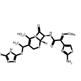 CON=C(C(=O)N[C@@H]1C(=O)N2C(C(=O)O)=C(C(C)Sc3nnc(C(F)(F)F)[nH]3)CS[C@@H]12)c1csc(N)n1